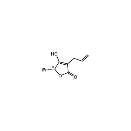 C=CCC1=C(O)[C@@H](C(C)C)OC1=O